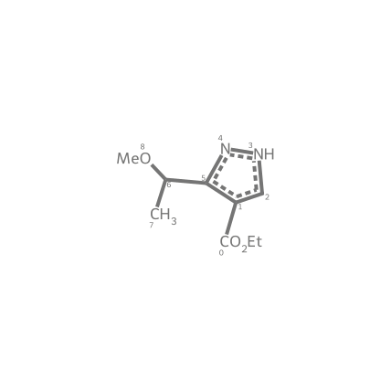 CCOC(=O)c1c[nH]nc1C(C)OC